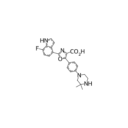 CC1(C)CN(c2ccc(-c3oc(-c4ccc(F)c5[nH]ccc45)nc3C(=O)O)cc2)CCN1